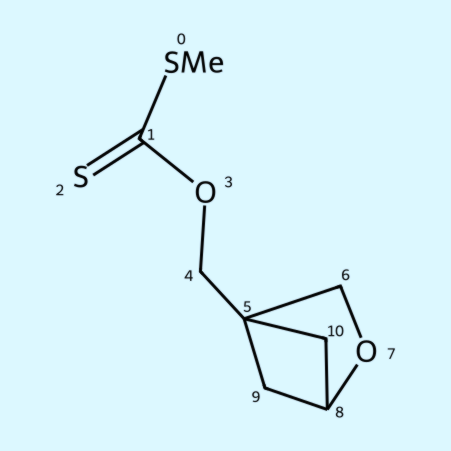 C[SH2]C(=S)OCC12COC(C1)C2